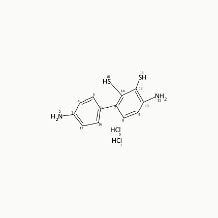 Cl.Cl.Nc1ccc(-c2ccc(N)c(S)c2S)cc1